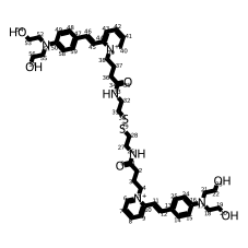 O=C(CCC[n+]1ccccc1/C=C/c1ccc(N(CCO)CCO)cc1)NCCSSCCNC(=O)CCC[n+]1ccccc1/C=C/c1ccc(N(CCO)CCO)cc1